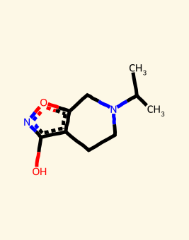 CC(C)N1CCc2c(O)noc2C1